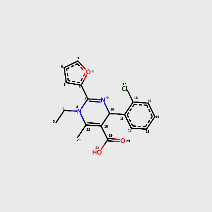 CCN1C(c2ccco2)=NC(c2ccccc2Cl)C(C(=O)O)=C1C